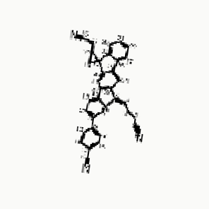 N#CCC/C=C1\c2cc(-c3ccc(C#N)cc3)ccc2-c2cc3c(cc21)-c1ccccc1C31CC1CC#N